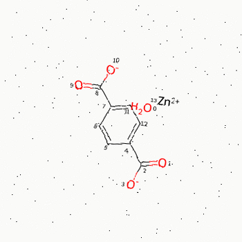 O.O=C([O-])c1ccc(C(=O)[O-])cc1.[Zn+2]